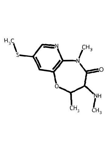 CNC1C(=O)N(C)c2ncc(SC)cc2OC1C